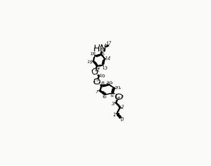 C=CCCOc1ccc(OCOc2ccc(NC)cc2)cc1